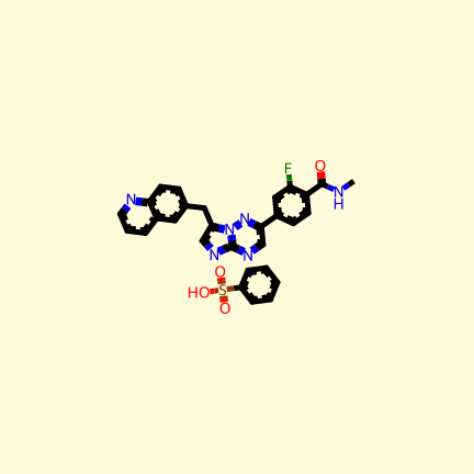 CNC(=O)c1ccc(-c2cnc3ncc(Cc4ccc5ncccc5c4)n3n2)cc1F.O=S(=O)(O)c1ccccc1